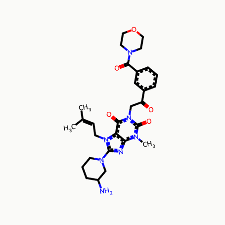 CC(C)=CCn1c(N2CCCC(N)C2)nc2c1c(=O)n(CC(=O)c1cccc(C(=O)N3CCOCC3)c1)c(=O)n2C